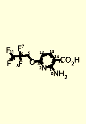 Nc1nc(OCC(F)(F)C(F)F)ccc1C(=O)O